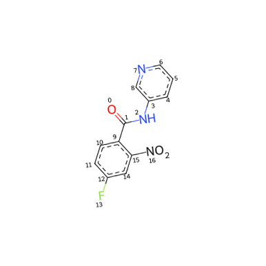 O=C(Nc1cccnc1)c1ccc(F)cc1[N+](=O)[O-]